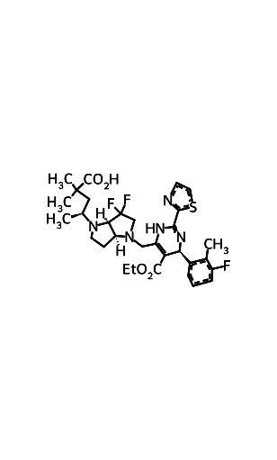 CCOC(=O)C1=C(CN2CC(F)(F)[C@H]3[C@@H]2CCN3[C@@H](C)CC(C)(C)C(=O)O)NC(c2nccs2)=N[C@H]1c1cccc(F)c1C